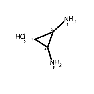 Cl.NC1CC1N